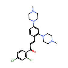 CN1CCN(c2ccc(/C=C/C(=O)c3ccc(Cl)cc3Cl)c(N3CCN(C)CC3)c2)CC1